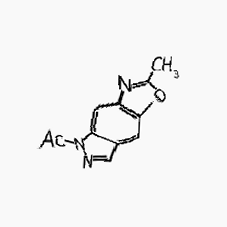 CC(=O)n1ncc2cc3oc(C)nc3cc21